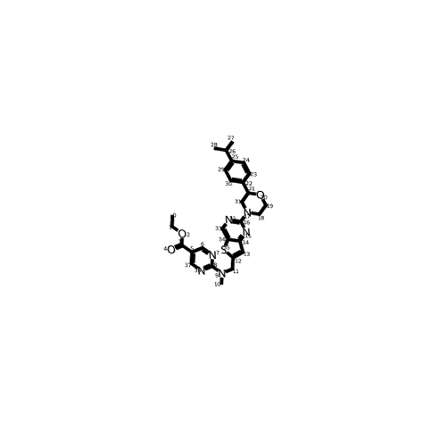 CCOC(=O)c1cnc(N(C)Cc2cc3nc(N4CCOC(c5ccc(C(C)C)cc5)C4)ncc3s2)nc1